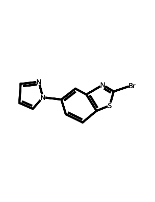 Brc1nc2cc(-n3cccn3)ccc2s1